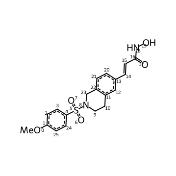 COc1ccc(S(=O)(=O)N2CCc3cc(/C=C/C(=O)NO)ccc3C2)cc1